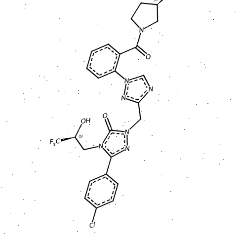 O=C(c1ccccc1-n1cnc(Cn2nc(-c3ccc(Cl)cc3)n(C[C@H](O)C(F)(F)F)c2=O)n1)N1CC[C@@H](O)C1